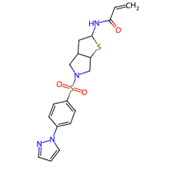 C=CC(=O)NC1CC2CN(S(=O)(=O)c3ccc(-n4cccn4)cc3)CC2S1